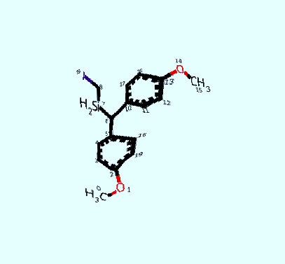 COc1ccc(C([SiH2]CI)c2ccc(OC)cc2)cc1